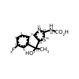 CC(O)(c1cccc(F)c1)c1cnc(NC(=O)O)s1